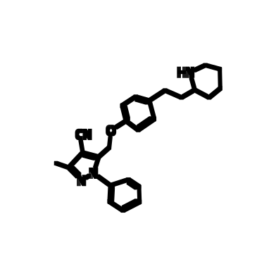 Cc1nn(-c2ccccc2)c(COc2ccc(CCC3CCCCN3)cc2)c1C#N